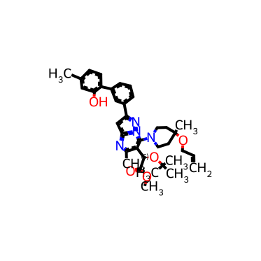 C=CCOC1(C)CCN(c2c([C@H](OC(C)(C)C)C(=O)OC)c(C)nc3cc(-c4cccc(-c5ccc(C)cc5O)c4)nn23)CC1